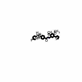 COc1cc(OC)c(-c2cccs2)cc1/C=C/C(=O)c1ccc(S(=O)(=O)Nc2ccc(F)cn2)cc1